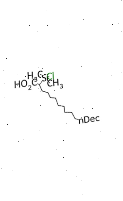 CCCCCCCCCCCCCCCCCCCC(C(=O)O)[Si](C)(C)Cl